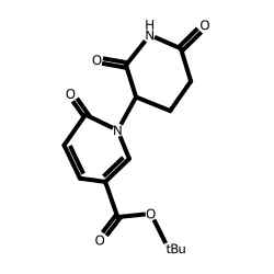 CC(C)(C)OC(=O)c1ccc(=O)n(C2CCC(=O)NC2=O)c1